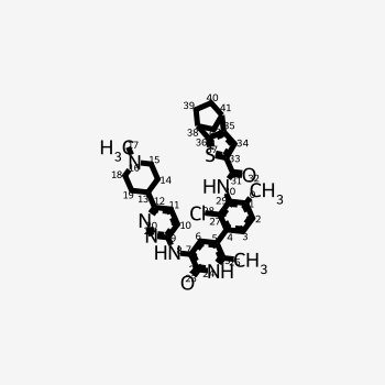 Cc1ccc(-c2cc(Nc3ccc(C4CCN(C)CC4)nn3)c(=O)[nH]c2C)c(Cl)c1NC(=O)c1cc2c(s1)C1CCC2C1